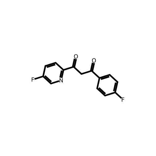 O=C(CC(=O)c1ccc(F)cn1)c1ccc(F)cc1